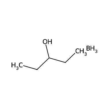 B.CCC(O)CC